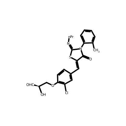 CCC/N=C1/S/C(=C\c2ccc(OC[C@@H](O)C=O)c(Cl)c2)C(=O)N1c1ccccc1C